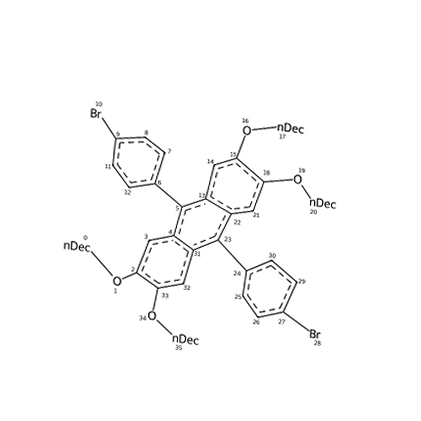 CCCCCCCCCCOc1cc2c(-c3ccc(Br)cc3)c3cc(OCCCCCCCCCC)c(OCCCCCCCCCC)cc3c(-c3ccc(Br)cc3)c2cc1OCCCCCCCCCC